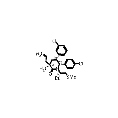 C=CC[C@@]1(C)C[C@H](c2cccc(Cl)c2)[C@@H](c2ccc(Cl)cc2)N([C@@H](CC)CSC)C1=O